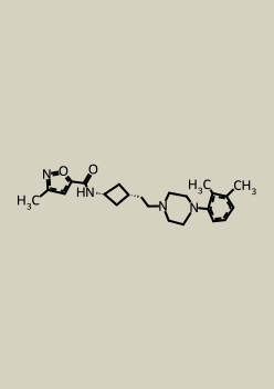 Cc1cc(C(=O)N[C@H]2C[C@@H](CCN3CCN(c4cccc(C)c4C)CC3)C2)on1